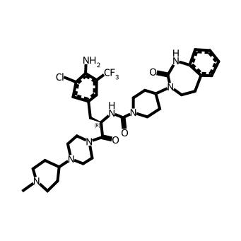 CN1CCC(N2CCN(C(=O)[C@@H](Cc3cc(Cl)c(N)c(C(F)(F)F)c3)NC(=O)N3CCC(N4CCc5ccccc5NC4=O)CC3)CC2)CC1